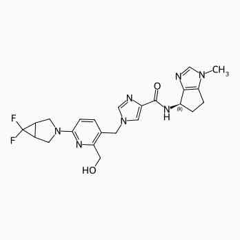 Cn1cnc2c1CC[C@H]2NC(=O)c1cn(Cc2ccc(N3CC4C(C3)C4(F)F)nc2CO)cn1